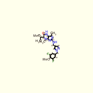 COc1c(F)cc(Cn2cc(CNc3nc(C)c4c(n3)N(C)[C@@H]([C@@H](C)OC)C(=O)N4)cn2)cc1F